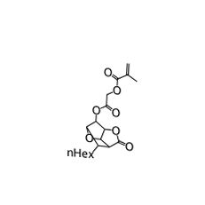 C=C(C)C(=O)OCC(=O)OC1C2OC3C1OC(=O)C3C2CCCCCC